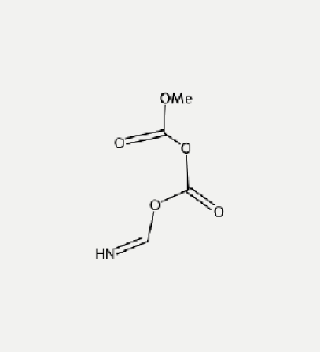 COC(=O)OC(=O)OC=N